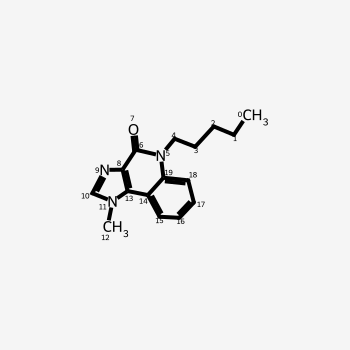 CCCCCn1c(=O)c2ncn(C)c2c2ccccc21